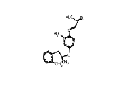 CCN(C)/C=N/c1ccc(OC(C)Cc2ccccc2C)nc1C